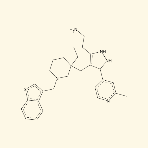 CCC1(CC2=C(CCN)NNC2c2ccnc(C)c2)CCCN(Cc2csc3ccccc23)C1